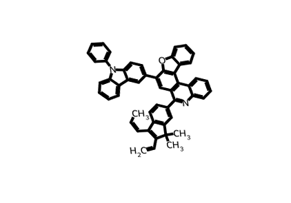 C=CC1=C(/C=C\C)c2ccc(-c3nc4ccccc4c4c3cc(-c3ccc5c(c3)c3ccccc3n5-c3ccccc3)c3oc5ccccc5c34)cc2C1(C)C